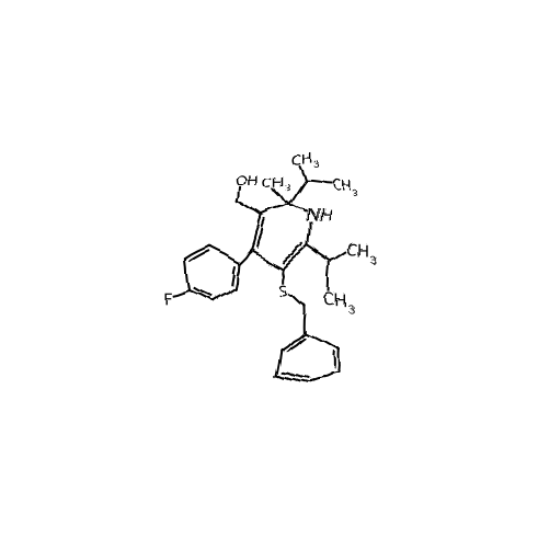 CC(C)C1=C(SCc2ccccc2)C(c2ccc(F)cc2)=C(CO)C(C)(C(C)C)N1